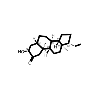 CC[C@H]1CC[C@H]2[C@@H]3CC[C@H]4C[C@H](O)C(=O)C[C@]4(C)[C@H]3CC[C@]12C